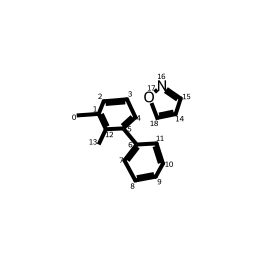 Cc1cccc(-c2ccccc2)c1C.c1cnoc1